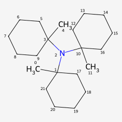 CC1(N(C2(C)CCCCC2)C2(C)CCCCC2)CCCCC1